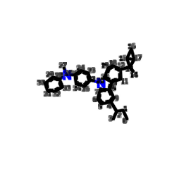 CCC(C)c1ccc2c(c1)c1cc(C3(C)C4CC43)ccc1n2-c1ccc(N(C)c2ccccc2)cc1